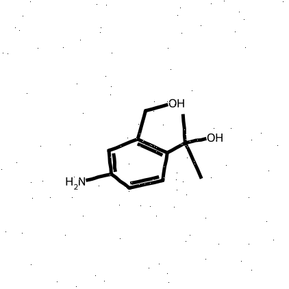 CC(C)(O)c1ccc(N)cc1CO